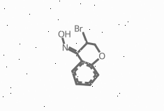 ON=C1c2ccccc2OCC1Br